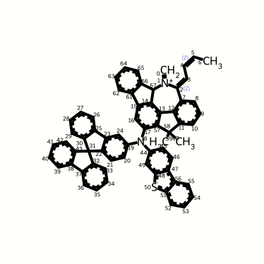 C=[N+]1/C(=C\C=C/C)c2cccc3c2-c2c4c(cc(N(c5ccc6c(c5)-c5ccccc5C65c6ccccc6-c6ccccc65)c5ccc6c(c5)sc5ccccc56)c2C3(C)C)-c2ccccc2C41